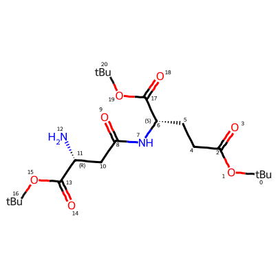 CC(C)(C)OC(=O)CC[C@H](NC(=O)C[C@@H](N)C(=O)OC(C)(C)C)C(=O)OC(C)(C)C